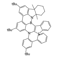 CC(C)(C)c1ccc(N2c3cc(C(C)(C)C)cc4c3B(c3c2sc2ccccc32)N2c3c-4cc(C(C)(C)C)cc3C3(C)CCCCC23C)c(-c2ccccc2)c1